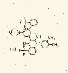 Cc1ccc(CC2NCC(C(=O)c3ccccc3C(F)(F)F)N(CC(=O)N3CCOCC3)C2C(=O)c2ccccc2C(F)(F)F)cc1C.Cl